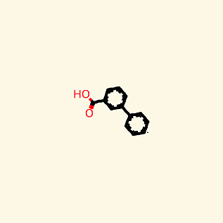 O=C(O)c1cccc(-c2cc[c]cc2)c1